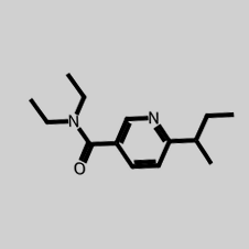 CCC(C)c1ccc(C(=O)N(CC)CC)cn1